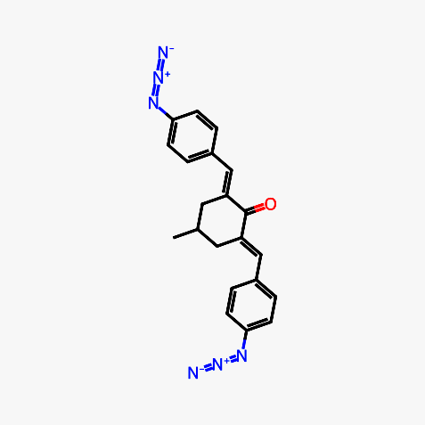 CC1C/C(=C\c2ccc(N=[N+]=[N-])cc2)C(=O)/C(=C/c2ccc(N=[N+]=[N-])cc2)C1